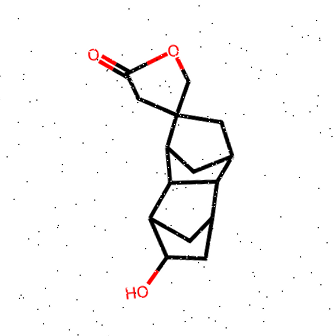 O=C1CC2(CO1)CC1CC2C2C3CC(CC3O)C12